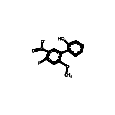 COc1cc(F)c([N+](=O)[O-])cc1-c1ccccc1O